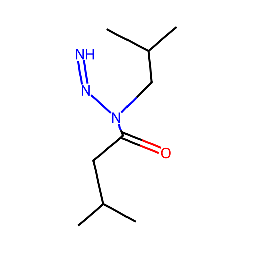 CC(C)CC(=O)N(CC(C)C)N=N